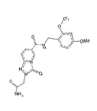 COc1ccc(CNC(=O)c2ccc3nn(CC(N)=O)c(=O)n3c2)c(OC(F)(F)F)c1